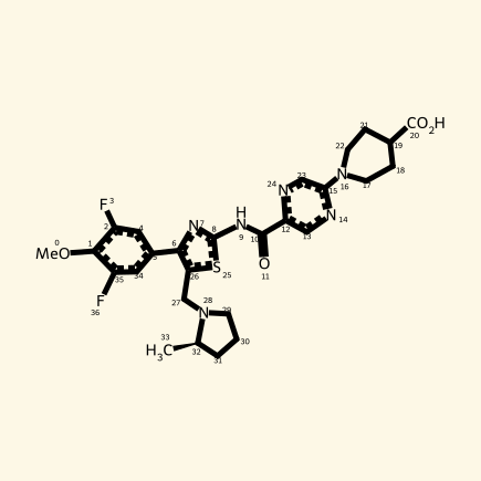 COc1c(F)cc(-c2nc(NC(=O)c3cnc(N4CCC(C(=O)O)CC4)cn3)sc2CN2CCC[C@H]2C)cc1F